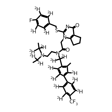 [2H]c1c([2H])c(CSc2nc(=O)c3c(n2CC(=O)N(CCN(C([2H])([2H])C)C([2H])([2H])C)C([2H])([2H])c2c([2H])c([2H])c(-c4c([2H])c([2H])c(C(F)(F)F)c([2H])c4[2H])c([2H])c2C)CCC3)c([2H])c([2H])c1F